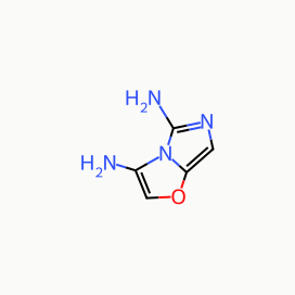 Nc1coc2cnc(N)n12